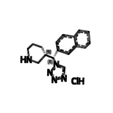 Cl.c1ccc2cc([C@@H]([C@H]3CCCNC3)n3cnnn3)ccc2c1